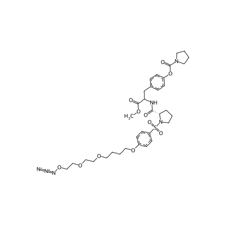 COC(=O)C(Cc1ccc(OC(=O)N2CCCC2)cc1)NC(=O)[C@@H]1CCCN1S(=O)(=O)c1ccc(OCCCCOCCOCCON=[N+]=[N-])cc1